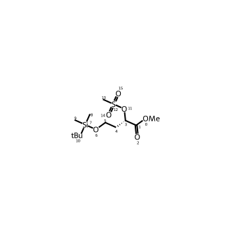 COC(=O)[C@H](CCO[Si](C)(C)C(C)(C)C)OS(C)(=O)=O